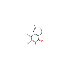 CC1=CC2=C(C=C=C1)C(=O)C(C)=C(Br)C2=O